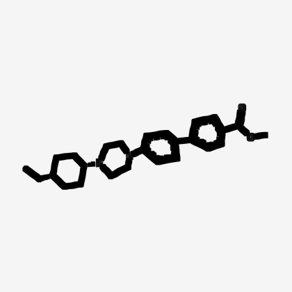 CC[C@H]1CC[C@H](N2CCN(c3ccc(-c4ccc(C(=O)OC)cc4)cc3)CC2)CC1